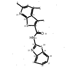 Cc1cc(C)c2c(C)c(C(=O)Nc3nc4ccccc4s3)sc2n1